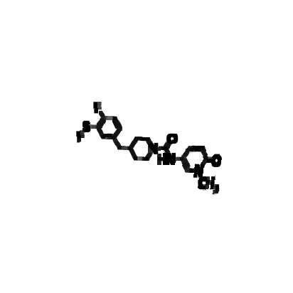 Cn1cc(NC(=O)N2CCC(Cc3ccc(F)c(SF)c3)CC2)ccc1=O